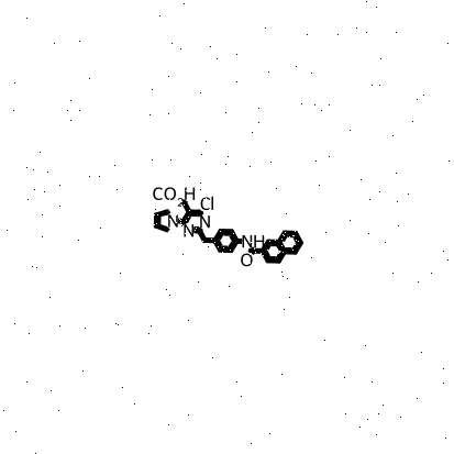 O=C(O)Cc1c(Cl)nc(Cc2ccc(NC(=O)c3ccc4ccccc4c3)cc2)nc1N1CC=CC1